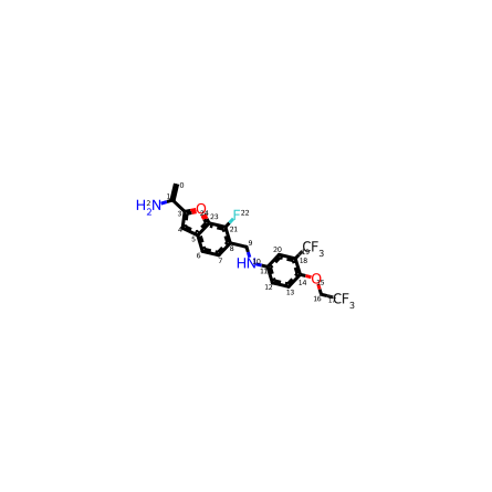 C=C(N)c1cc2ccc(CNc3ccc(OCC(F)(F)F)c(C(F)(F)F)c3)c(F)c2o1